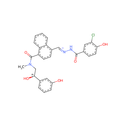 CN(C[C@H](O)c1cccc(O)c1)C(=O)c1ccc(/C=N/NC(=O)c2ccc(O)c(Cl)c2)c2ccccc12